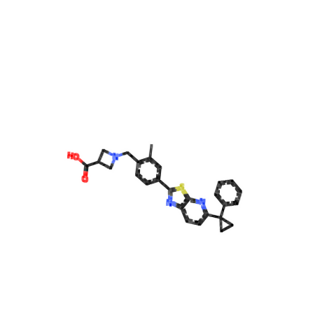 Cc1cc(-c2nc3ccc(C4(c5ccccc5)CC4)nc3s2)ccc1CN1CC(C(=O)O)C1